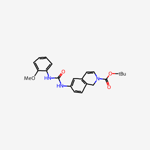 COc1ccccc1NC(=O)Nc1ccc2c(c1)C=CN(C(=O)OC(C)(C)C)C2